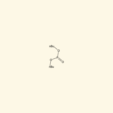 CCCCO[P](=O)OCCCC